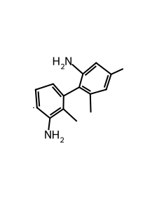 Cc1cc(C)c(-c2cc[c]c(N)c2C)c(N)c1